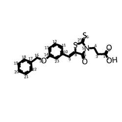 O=C(O)CCN1C(=O)/C(=C/c2cccc(OCc3ccccc3)c2)SC1=S